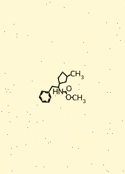 COC(=O)NC(Cc1ccccc1)C1CCC(C)C1